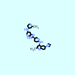 Cc1cc(Nc2cnc3[nH]c(-c4ccc(Nc5cc(C)nc6ccc(N7CCC7)cc56)nc4)nc3c2)ccn1